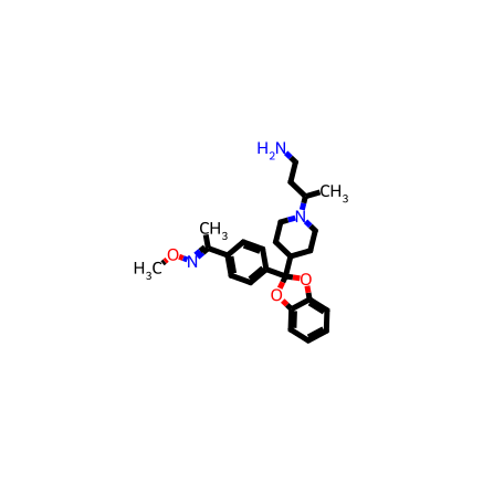 CON=C(C)c1ccc(C2(C3CCN(C(C)CCN)CC3)Oc3ccccc3O2)cc1